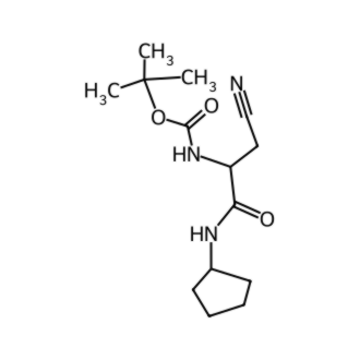 CC(C)(C)OC(=O)NC(CC#N)C(=O)NC1CCCC1